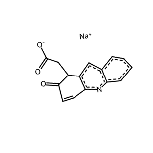 O=C([O-])CC1C(=O)C=Cc2nc3ccccc3cc21.[Na+]